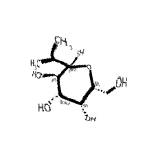 CC(C)[C@]1(S)O[C@H](CO)[C@H](O)[C@H](O)[C@H]1O